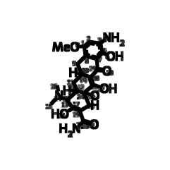 COc1cc(N)c(O)c2c1C[C@H]1C[C@H]3[C@H](N(C)C)C(O)=C(C(N)=O)C[C@@]3(O)C(O)=C1C2=O